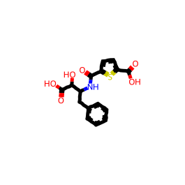 O=C(O)c1ccc(C(=O)NC(Cc2ccccc2)C(O)C(=O)O)s1